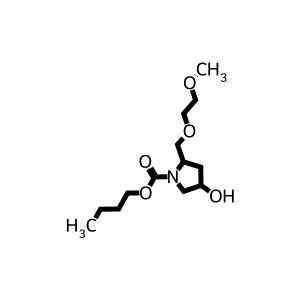 CCCCOC(=O)N1CC(O)CC1COCCOC